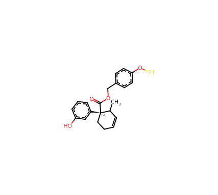 CC1C=CCC[C@@]1(C(=O)OCc1ccc(OS)cc1)c1cccc(O)c1